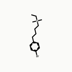 CC[Si](C)(C)CCCCc1ccc(Br)cc1